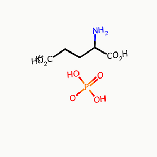 NC(CCC(=O)O)C(=O)O.O=P([O-])(O)O.[K+]